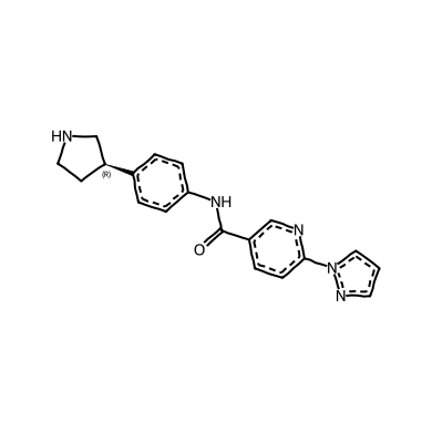 O=C(Nc1ccc([C@H]2CCNC2)cc1)c1ccc(-n2cccn2)nc1